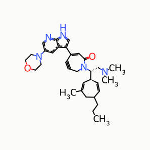 CCCC1C=C[C@H]([C@@H](CN(C)C)N2CC#CC(c3c[nH]c4ncc(N5CCOCC5)cc34)=CC2=O)C=C(C)C1